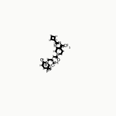 O=C(O)N[C@@H](CC(=O)N1CCc2c(nc(C3CCC3)nc2C(F)(F)F)C1)CN1CC(F)(F)CCC1=O